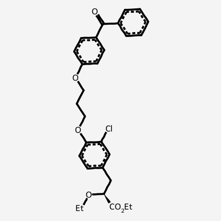 CCOC(=O)[C@H](Cc1ccc(OCCCOc2ccc(C(=O)c3ccccc3)cc2)c(Cl)c1)OCC